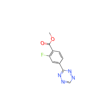 COC(=O)c1ccc(-c2nncnn2)cc1F